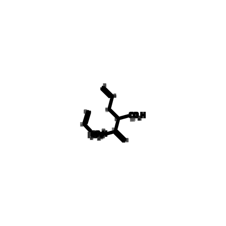 C=CC(=O)O.C=CCC(C(=C)C(=O)O)C(=O)O